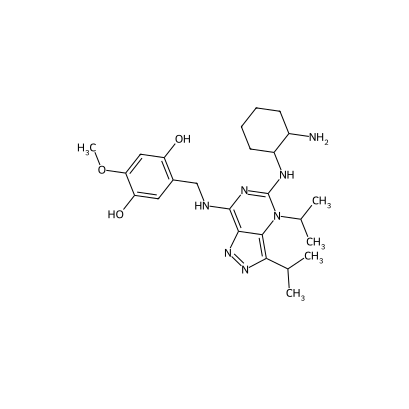 COc1cc(O)c(CNc2nc(NC3CCCCC3N)n(C(C)C)c3c(C(C)C)nnc2-3)cc1O